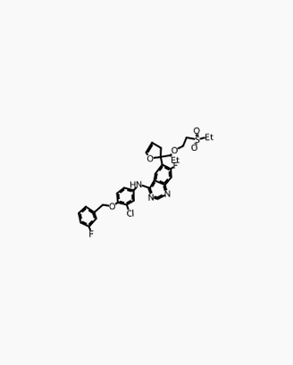 CCC(OCCS(=O)(=O)CC)C1(c2cc3c(Nc4ccc(OCc5cccc(F)c5)c(Cl)c4)ncnc3cc2F)CC=CO1